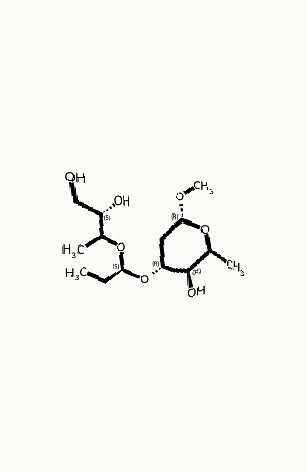 CC[C@@H](OC(C)[C@@H](O)CO)O[C@@H]1C[C@H](OC)OC(C)[C@H]1O